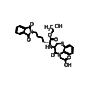 CCOC(=O)[C@@H](CCCCN1C(=O)c2ccccc2C1=O)NC1CSc2ccccc2N(CC(=O)O)C1=O.Cl